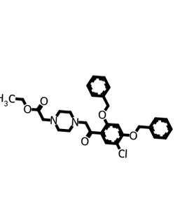 CCOC(=O)CN1CCN(CC(=O)c2cc(Cl)c(OCc3ccccc3)cc2OCc2ccccc2)CC1